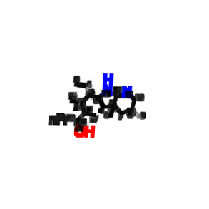 C=C[C@H]([C@@H]1C[C@@]2(C)C[C@@H](C)CN=C2N1)[C@H](C)C(C)[C@H](O)CCC